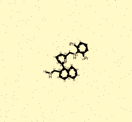 CC(C)c1cccc(C(C)C)c1NCc1cccc(-c2c(CNI)ccc3ccccc23)n1